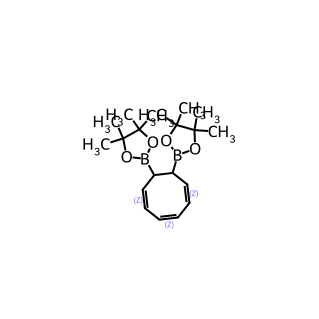 CC1(C)OB(C2\C=C/C=C\C=C/C2B2OC(C)(C)C(C)(C)O2)OC1(C)C